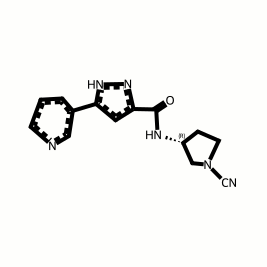 N#CN1CC[C@@H](NC(=O)c2cc(-c3cccnc3)[nH]n2)C1